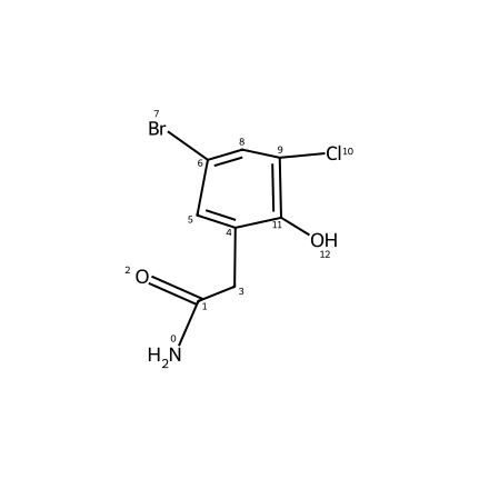 NC(=O)Cc1cc(Br)cc(Cl)c1O